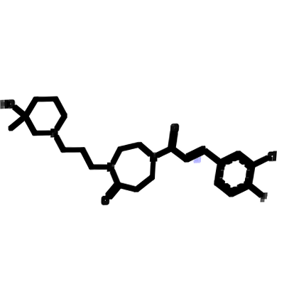 CC1(O)CCCN(CCCN2CCN(C(=O)/C=C/c3ccc(F)c(Cl)c3)CCC2=O)C1